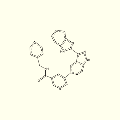 O=C(NCc1ccccc1)c1cncc(-c2ccc3[nH]nc(-c4nc5ccccc5[nH]4)c3c2)c1